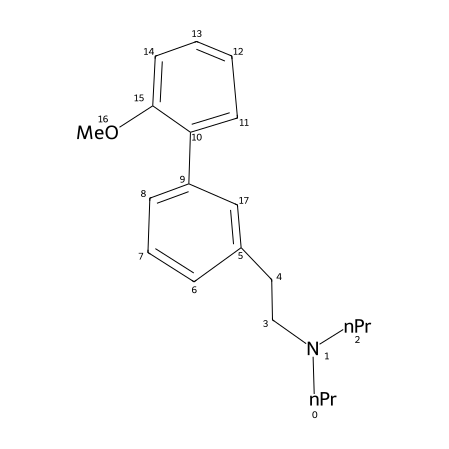 CCCN(CCC)CCc1cccc(-c2ccccc2OC)c1